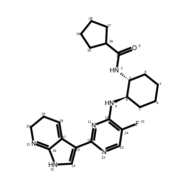 O=C(N[C@@H]1CCCC[C@H]1Nc1nc(-c2c[nH]c3c2=CCCN=3)ncc1F)C1CCCC1